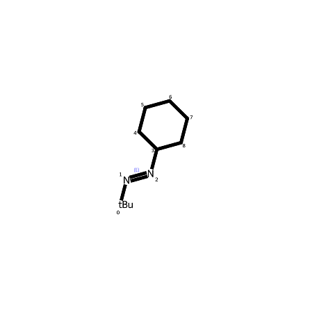 CC(C)(C)/N=N/C1CCCCC1